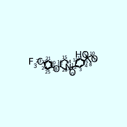 O=C(c1ccc(C2(O)COC2)cc1)N1CCCC(Oc2ccc(C(F)(F)F)cc2)C1